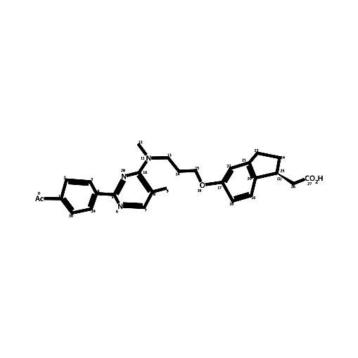 CC(=O)c1ccc(-c2ncc(C)c(N(C)CCCOc3ccc4c(c3)CC[C@H]4CC(=O)O)n2)cc1